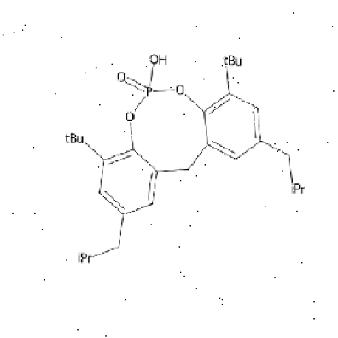 CC(C)Cc1cc2c(c(C(C)(C)C)c1)OP(=O)(O)Oc1c(cc(CC(C)C)cc1C(C)(C)C)C2